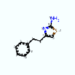 Nc1nc(CCc2ccccc2)cs1